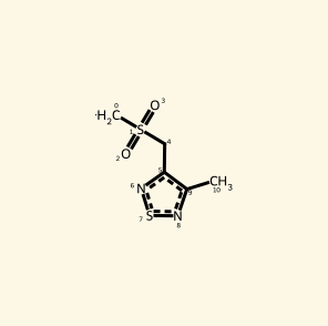 [CH2]S(=O)(=O)Cc1nsnc1C